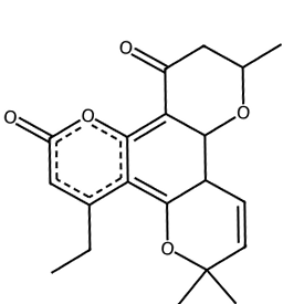 CCc1cc(=O)oc2c1=C1OC(C)(C)C=CC1C1OC(C)CC(=O)C=21